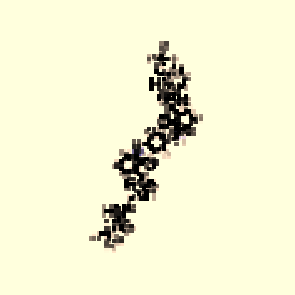 CCN(NC(=O)OC(C)(C)C)S(=O)(=O)CC12CCC(/C(=C/c3ccc(/C=C4\C(=O)C5(CS(=O)(=O)NCCNC(=O)OC(C)(C)C)CCC4C5(C)C)cc3)C1=O)C2(C)C